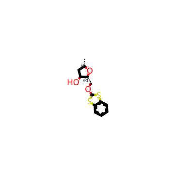 C[C@H]1CC(O)[C@@H](COC2Sc3ccccc3S2)O1